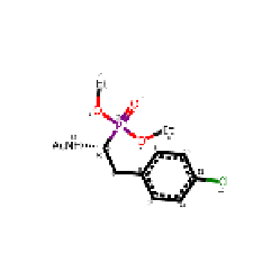 CCOP(=O)(OCC)[C@H](Cc1ccc(Cl)cc1)NC(C)=O